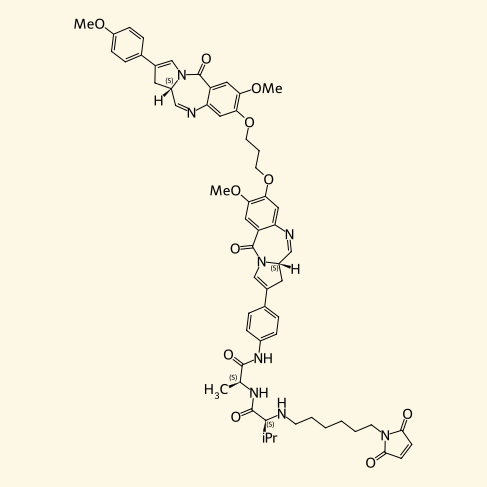 COc1ccc(C2=CN3C(=O)c4cc(OC)c(OCCCOc5cc6c(cc5OC)C(=O)N5C=C(c7ccc(NC(=O)[C@H](C)NC(=O)[C@@H](NCCCCCCN8C(=O)C=CC8=O)C(C)C)cc7)C[C@H]5C=N6)cc4N=C[C@@H]3C2)cc1